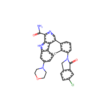 Cc1c(-c2cnc(C(N)=O)c3[nH]c4cc(N5CCOCC5)ccc4c23)cccc1N1Cc2ccc(Cl)cc2C1=O